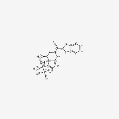 C[C@H]1CN(C(=O)C2Cc3ccccc3C2)Cc2cnc([C@@](C)(O)C(F)(F)F)n21